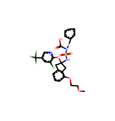 COCCOc1cccc2c1CC(NS(=O)(=O)N(Cc1ccccc1)C(=O)O)(Oc1ncc(C(F)(F)F)cc1Cl)C2